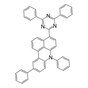 c1ccc(-c2ccc3c(c2)-c2cccc4c(-c5nc(-c6ccccc6)nc(-c6ccccc6)n5)ccc(c24)N3c2ccccc2)cc1